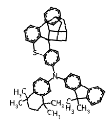 CC1(C)CCC(C)(C)c2cc(N(c3ccc4c(c3)Sc3cccc(-c5ccccc5)c3C43C4CC5CC6CC3C64C5)c3ccc4c(c3)C(C)(C)c3ccccc3-4)ccc21